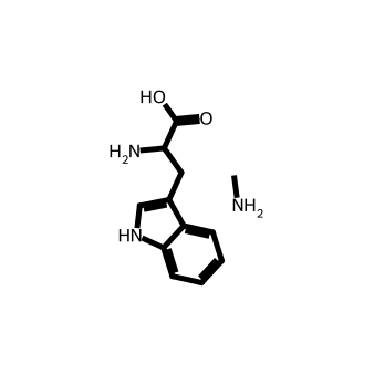 CN.NC(Cc1c[nH]c2ccccc12)C(=O)O